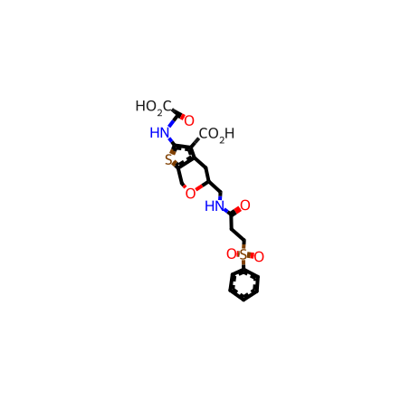 O=C(CCS(=O)(=O)c1ccccc1)NCC1Cc2c(sc(NC(=O)C(=O)O)c2C(=O)O)CO1